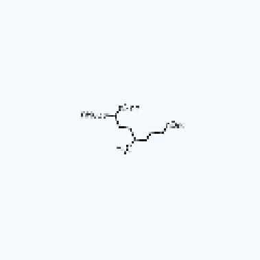 CCCCCCCCCCCCCC(C)CCC(CCCCCCC)CCCCCCCCC